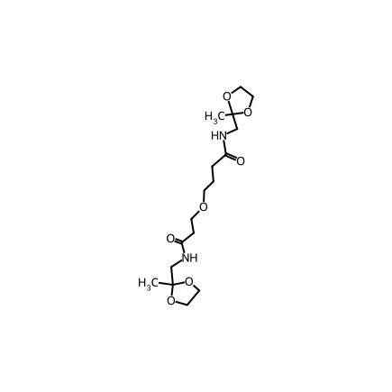 CC1(CNC(=O)CCCOCCC(=O)NCC2(C)OCCO2)OCCO1